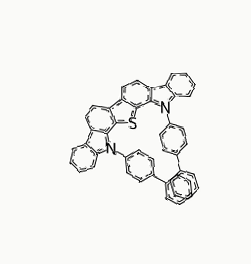 c1ccc(-c2ccc(-n3c4ccccc4c4ccc5c6ccc7c8ccccc8n(-c8ccc(-c9ccccc9)cc8)c7c6sc5c43)cc2)cc1